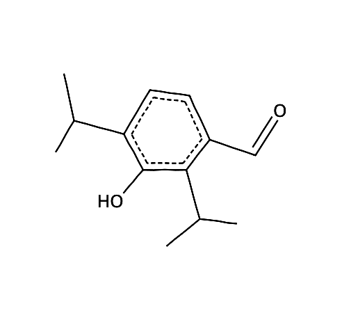 CC(C)c1ccc(C=O)c(C(C)C)c1O